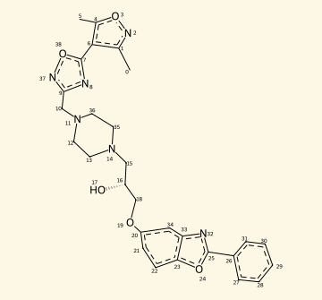 Cc1noc(C)c1-c1nc(CN2CCN(C[C@@H](O)COc3ccc4oc(-c5ccccc5)nc4c3)CC2)no1